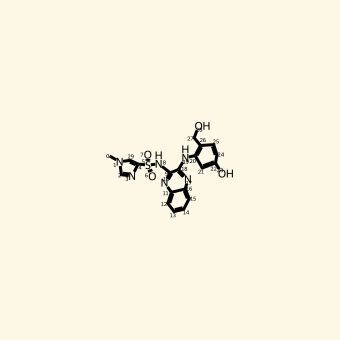 Cn1cnc(S(=O)(=O)Nc2nc3ccccc3nc2Nc2cc(O)ccc2CO)c1